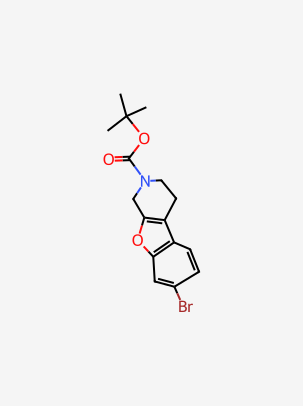 CC(C)(C)OC(=O)N1CCc2c(oc3cc(Br)ccc23)C1